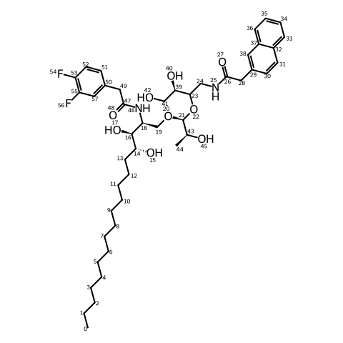 CCCCCCCCCCCCCC[C@@H](O)[C@@H](O)[C@H](CO[C@@H](OC(CNC(=O)Cc1ccc2ccccc2c1)[C@H](O)CO)[C@H](C)O)NC(=O)Cc1ccc(F)c(F)c1